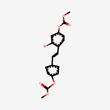 COC(=O)Oc1ccc(/C=C/c2ccc(OC(=O)OC)cc2Br)cc1